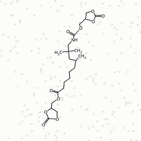 CC(CCCCCC(=O)OCC1COC(=O)O1)CC(C)(C)CNC(=O)OCC1COC(=O)O1